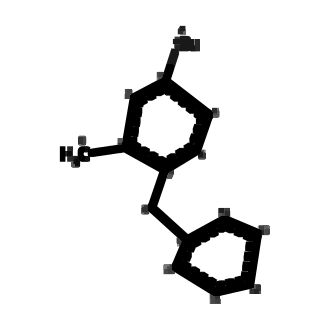 Cc1cc(C(C)(C)C)ccc1Cc1ccccc1